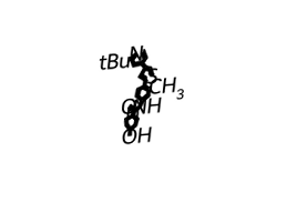 Cc1cc(NC(=O)N2CCC(O)CC2)ccc1-c1cc(-c2ccnc(C(C)(C)C)c2)cs1